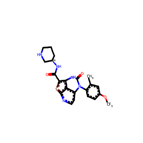 Cc1cc(OC(F)(F)F)ccc1N1C(=O)Nc2c(C(=O)N[C@@H]3CCCNC3)sc3nccc1c23